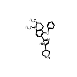 CC1CCc2c(ccc(-c3ncc(C4CCNCC4)[nH]3)c2Oc2ccccc2)N1C